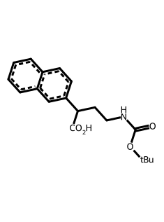 CC(C)(C)OC(=O)NCCC(C(=O)O)c1ccc2ccccc2c1